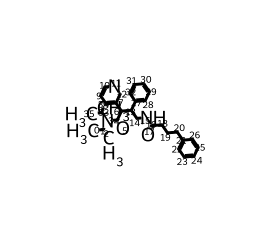 CC(C)N(C(=O)C(c1cccnc1)C(CNC(=O)CCCc1ccccc1)c1ccccc1)C(C)C